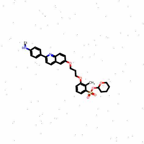 CCNc1ccc(-c2ccc3cc(OCCCOc4cccc(S(=O)(=O)OC5CCCCO5)c4C)ccc3n2)cc1